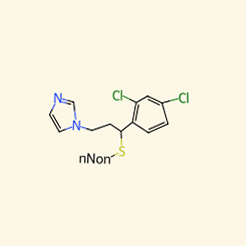 CCCCCCCCCSC(CCn1ccnc1)c1ccc(Cl)cc1Cl